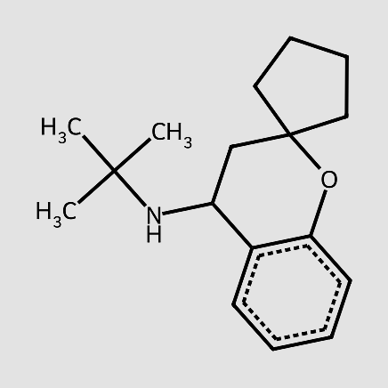 CC(C)(C)NC1CC2(CCCC2)Oc2ccccc21